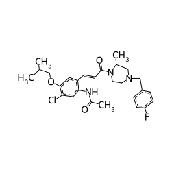 CC(=O)Nc1cc(Cl)c(OCC(C)C)cc1/C=C/C(=O)N1CCN(Cc2ccc(F)cc2)C[C@H]1C